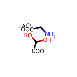 NCC(=O)[O-].O=C([O-])C(O)O.[Al+2]